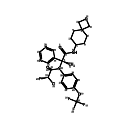 C[C@](C(=O)NC1CCC2(CC1)COC2)(c1cncnc1)N(C(=O)[C@H](F)Cl)c1ccc(OC(F)(F)F)cc1